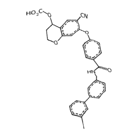 Cc1cccc(-c2cccc(NC(=O)c3ccc(Oc4cc5c(cc4C#N)C(OC(=O)O)CCO5)cc3)c2)c1